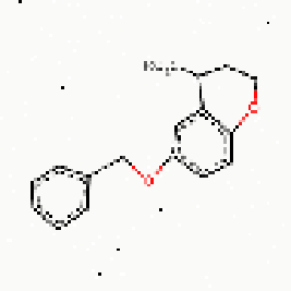 O=C(O)C1CCOc2ccc(OCc3ccccc3)cc21